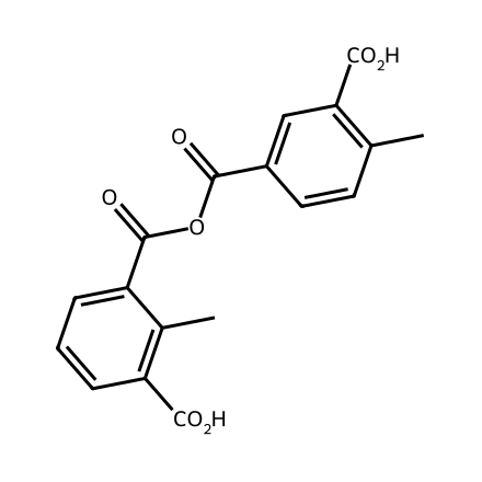 Cc1ccc(C(=O)OC(=O)c2cccc(C(=O)O)c2C)cc1C(=O)O